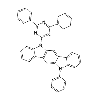 C1=CCCC(c2nc(-c3ccccc3)nc(-n3c4ccccc4c4cc5c(cc43)c3ccccc3n5-c3ccccc3)n2)=C1